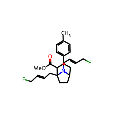 COC(=O)C1C(c2ccc(C)cc2)CC2CCC1(C/C=C/CF)N2C/C=C/CF